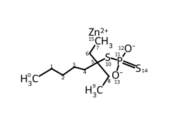 CCCCCC(CC)(CC)SP([O-])([O-])=S.[Zn+2]